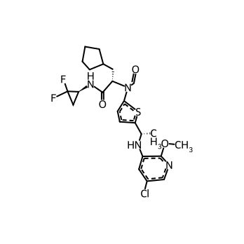 COc1ncc(Cl)cc1N[C@@H](C)c1ccc(N(C=O)[C@@H](CC2CCCC2)C(=O)N[C@H]2CC2(F)F)s1